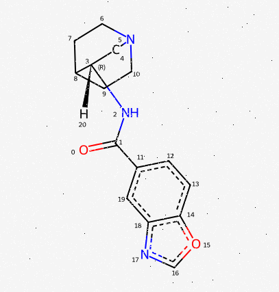 O=C(N[C@H]1CN2CCC1CC2)c1ccc2ocnc2c1